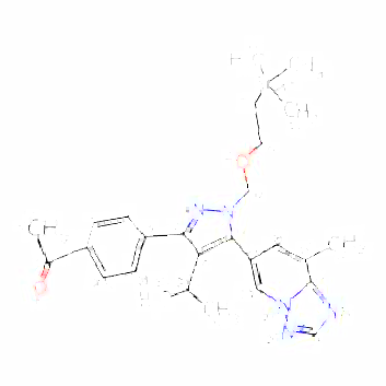 CC(=O)c1ccc(-c2nn(COCC[Si](C)(C)C)c(-c3cc(C)c4ncnn4c3)c2C(C)C)cc1